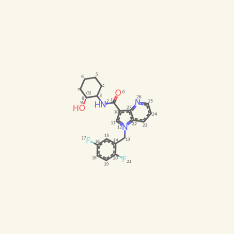 O=C(NC1CCCC[C@@H]1O)c1cn(Cc2cc(F)ccc2F)c2cccnc12